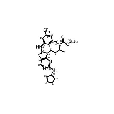 CC(CCn1c(Nc2cc(Cl)cc(C(F)(F)F)c2)nc2cnc(NC3CCCC3)nc21)NC(=O)OC(C)(C)C